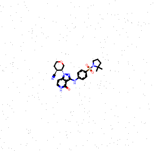 CC1(C)CCCN1S(=O)(=O)c1ccc(Nc2nn([C@H]3COCC[C@@H]3C#N)c3cc[nH]c(=O)c23)cc1